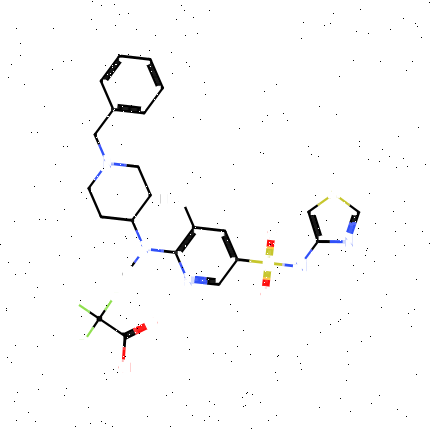 Cc1cc(S(=O)(=O)Nc2cscn2)cnc1N(C)C1CCN(Cc2ccccc2)CC1.O=C(O)C(F)(F)F